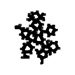 Cc1cc(C)c2c(c1)C1(C)CCCCC1(C)N2c1cc2c3c(c1)N(c1ccccc1)c1cc4c(cc1B3c1cc(C(C)(C)C)ccc1N2c1ccc(C(C)(C)C)cc1)C(C)(C)CCC4(C)C